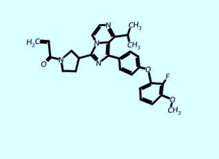 C=CC(=O)N1CCC(c2nc(-c3ccc(Oc4cccc(OC)c4F)cc3)c3c(C(C)C)nccn23)C1